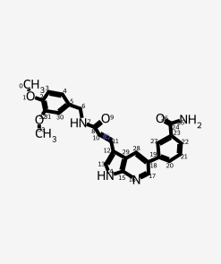 COc1ccc(CNC(=O)/C=C/c2c[nH]c3ncc(-c4cccc(C(N)=O)c4)cc23)cc1OC